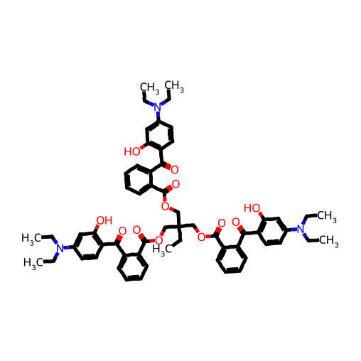 CCN(CC)c1ccc(C(=O)c2ccccc2C(=O)OCC(CC)(COC(=O)c2ccccc2C(=O)c2ccc(N(CC)CC)cc2O)COC(=O)c2ccccc2C(=O)c2ccc(N(CC)CC)cc2O)c(O)c1